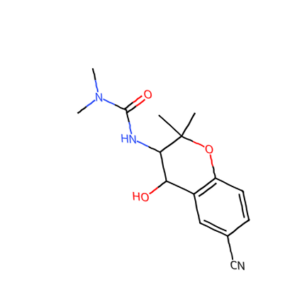 CN(C)C(=O)NC1C(O)c2cc(C#N)ccc2OC1(C)C